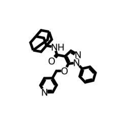 O=C(NC12CC3CC(CC(C3)C1)C2)c1cnn(-c2ccccc2)c1OCc1ccncc1